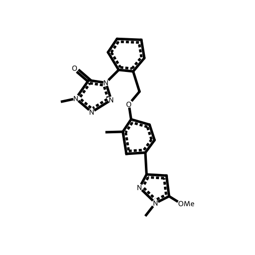 COc1cc(-c2ccc(OCc3ccccc3-n3nnn(C)c3=O)c(C)c2)nn1C